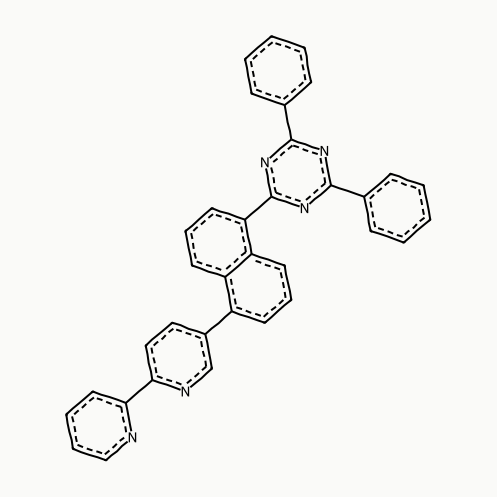 c1ccc(-c2nc(-c3ccccc3)nc(-c3cccc4c(-c5ccc(-c6ccccn6)nc5)cccc34)n2)cc1